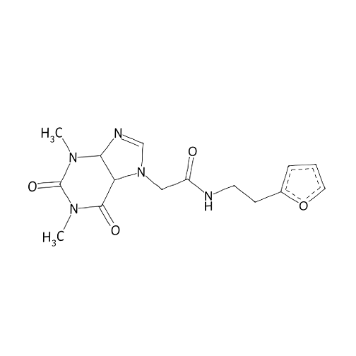 CN1C(=O)C2C(N=CN2CC(=O)NCCc2ccco2)N(C)C1=O